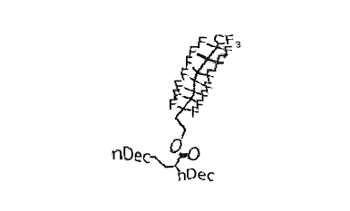 CCCCCCCCCCCCC(CCCCCCCCCC)C(=O)OCCC(F)(F)C(F)(F)C(F)(F)C(F)(F)C(F)(F)C(F)(F)C(F)(F)C(F)(F)F